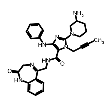 CC#CCn1c(N2CCCC(N)C2)nc(Nc2ccccc2)c1C(=O)NCC1=NCC(=O)Nc2ccccc21